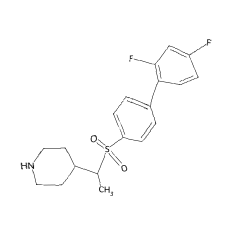 CC(C1CCNCC1)S(=O)(=O)c1ccc(-c2ccc(F)cc2F)cc1